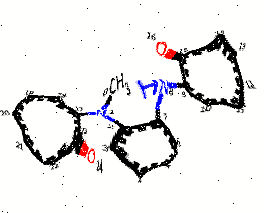 CN(c1ccccc1Nc1cccccc1=O)c1cccccc1=O